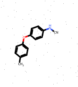 Cc1ccc(Oc2ccc(NC#N)cc2)cc1